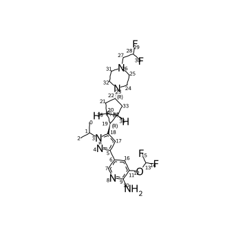 CC(C)n1nc(-c2cnc(N)c(OC(F)F)c2)cc1[C@H]1[C@@H]2C[C@H](N3CCN(CC(F)F)CC3)C[C@@H]21